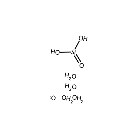 O.O.O.O.O=[Si](O)O.[O]